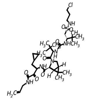 C=CCNC(=O)C(=O)C(CC1CC1)NC(=O)[C@@H]1[C@@H]2[C@H](CN1C(=O)[C@@H](NC(=O)N[C@H](CS(=O)(=O)NCCCCl)C(C)(C)C)C(C)(C)C)C2(C)C